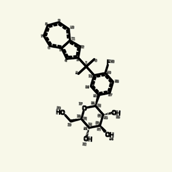 CC(C)(c1cc2cccccc-2c1)c1cc([C@@H]2O[C@H](CO)[C@@H](O)[C@H](O)[C@H]2O)ccc1F